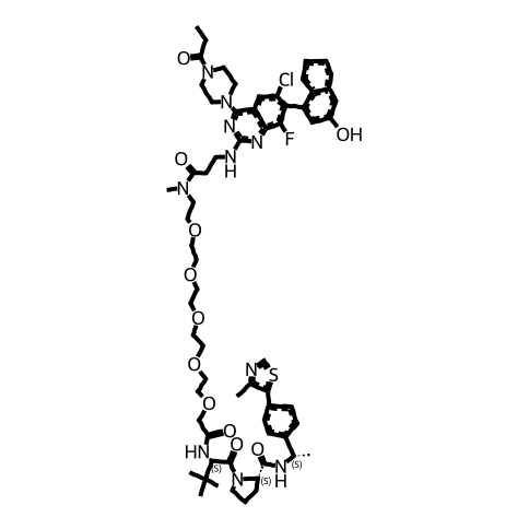 CCC(=O)N1CCN(c2nc(NCCC(=O)N(C)CCOCCOCCOCCOCCOCC(=O)N[C@H](C(=O)N3CCC[C@H]3C(=O)N[C@@H](C)c3ccc(-c4scnc4C)cc3)C(C)(C)C)nc3c(F)c(-c4cc(O)cc5ccccc45)c(Cl)cc23)CC1